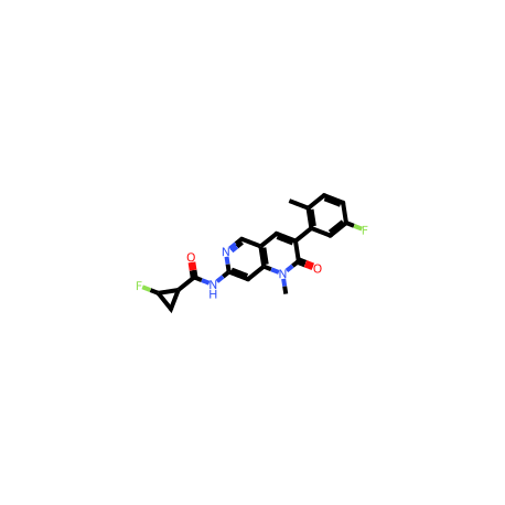 Cc1ccc(F)cc1-c1cc2cnc(NC(=O)C3CC3F)cc2n(C)c1=O